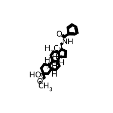 COC[C@@]1(O)CC[C@H]2[C@@H](CC[C@@H]3[C@@H]2CC[C@]2(C)[C@@H](CNC(=O)c4ccccc4)CC[C@@H]32)C1